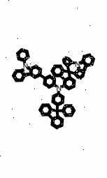 c1ccc(-n2c3ccccc3c3cc(-c4ccc(N(c5ccc(C6(c7ccccc7)c7ccccc7-c7ccccc76)cc5)c5cccc6c5-c5ccccc5C65c6ccccc6-n6c7ccccc7c7cccc5c76)cc4)ccc32)cc1